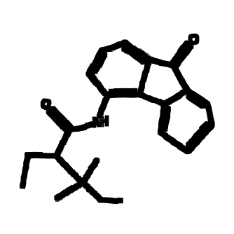 CCC(C(=O)Nc1cccc2c1-c1ccccc1C2=O)C(C)(C)CC